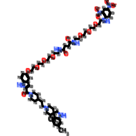 Cc1ccc2c(c1)NCC21CCN(CCC2CCN(C(=O)c3cc4cc(OCCOCCOCCOCCNC(=O)CCC(=O)NCCOCCOCCOCCNc5ccc([N+](=O)[O-])cc5[N+](=O)[O-])ccc4[nH]3)CC2)CC1C